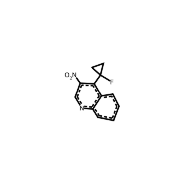 O=[N+]([O-])c1cnc2ccccc2c1C1(F)CC1